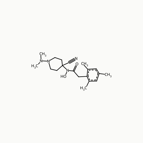 Cc1cc(C)c(CC(=O)N(O)C2(C#N)CCN(N(C)C)CC2)c(C)c1